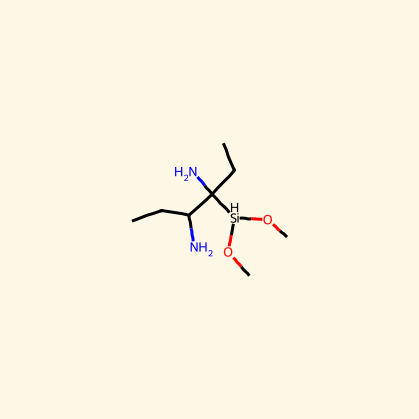 CCC(N)C(N)(CC)[SiH](OC)OC